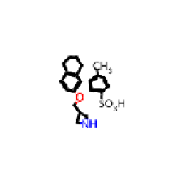 Cc1ccc(S(=O)(=O)O)cc1.c1cc2c(cc1OCC1CNC1)CCCC2